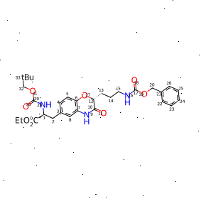 CCOC(=O)[C@H](Cc1ccc2c(c1)NC(=O)[C@@H](CCCNC(=O)OCc1ccccc1)O2)NC(=O)OCC(C)(C)C